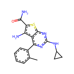 Cc1ccccc1-c1nc(NC2CC2)nc2sc(C(N)=O)c(N)c12